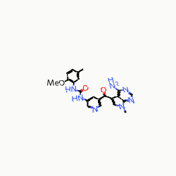 COc1ccc(C)cc1NC(=O)Nc1cncc(C(=O)c2cn(C)c3ncnc(N)c23)c1